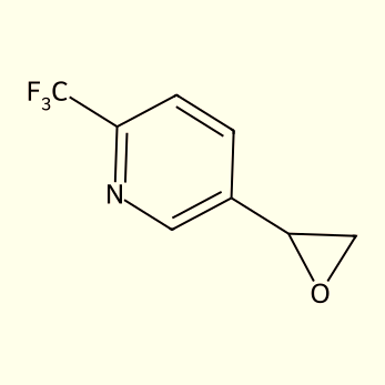 FC(F)(F)c1ccc(C2CO2)cn1